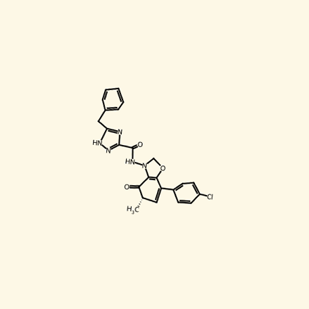 C[C@H]1C=C(c2ccc(Cl)cc2)C2=C(C1=O)N(NC(=O)c1n[nH]c(Cc3ccccc3)n1)CO2